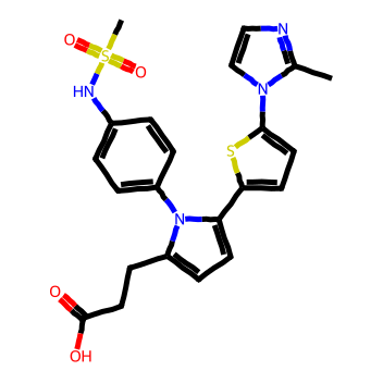 Cc1nccn1-c1ccc(-c2ccc(CCC(=O)O)n2-c2ccc(NS(C)(=O)=O)cc2)s1